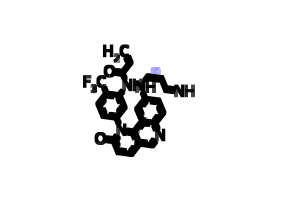 C=CC(=O)Nc1cc(-n2c(=O)ccc3cnc4ccc(N/C=C\C=N)cc4c32)ccc1C(F)(F)F